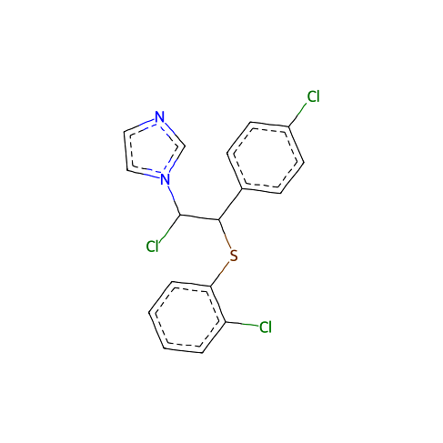 Clc1ccc(C(Sc2ccccc2Cl)C(Cl)n2ccnc2)cc1